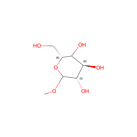 COC1O[C@H](CO)C(O)[C@@H](O)[C@@H]1O